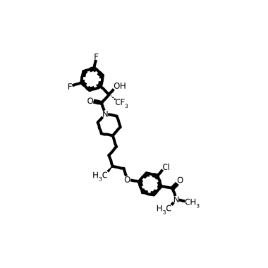 C[C@@H](CCC1CCN(C(=O)[C@](O)(c2cc(F)cc(F)c2)C(F)(F)F)CC1)COc1ccc(C(=O)N(C)C)c(Cl)c1